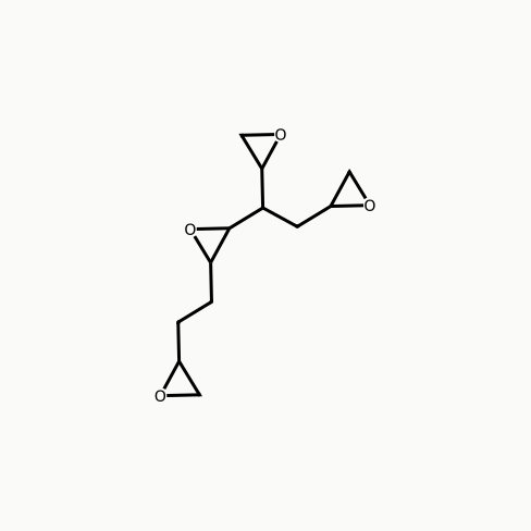 C(CC1OC1C(CC1CO1)C1CO1)C1CO1